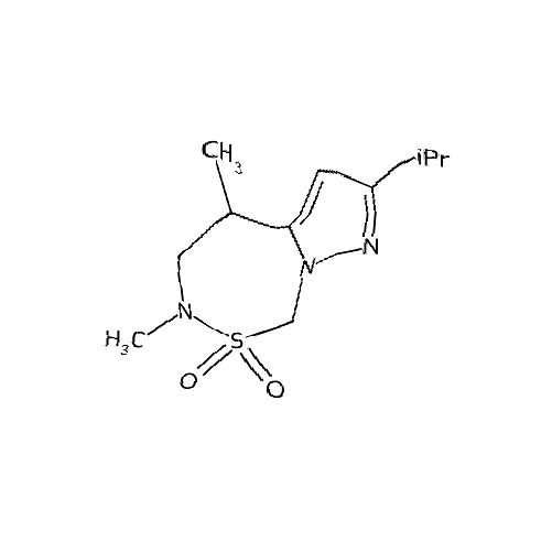 CC(C)c1cc2n(n1)CS(=O)(=O)N(C)CC2C